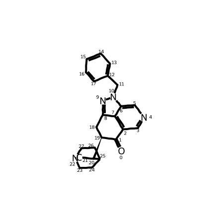 O=C1c2cncc3c2c(nn3Cc2ccccc2)C[C@@H]1C1CN2CCC1CC2